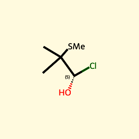 CSC(C)(C)[C@@H](O)Cl